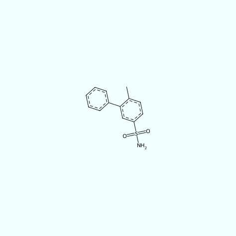 Cc1ccc(S(N)(=O)=O)cc1-c1ccccc1